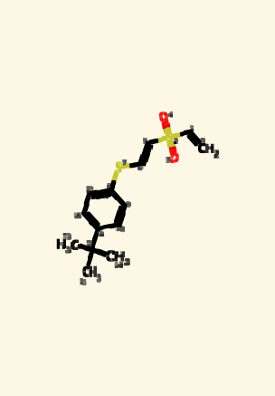 C=CS(=O)(=O)C=CSc1ccc(C(C)(C)C)cc1